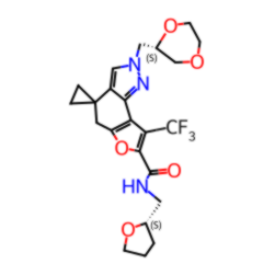 O=C(NC[C@@H]1CCCO1)c1oc2c(c1C(F)(F)F)-c1nn(C[C@H]3COCCO3)cc1C1(CC1)C2